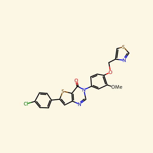 COc1cc(-n2cnc3cc(-c4ccc(Cl)cc4)sc3c2=O)ccc1OCc1cscn1